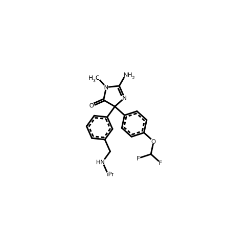 CC(C)NCc1cccc(C2(c3ccc(OC(F)F)cc3)N=C(N)N(C)C2=O)c1